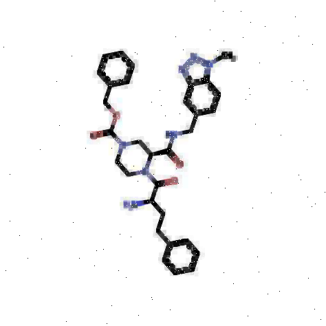 Cn1nnc2cc(CNC(=O)[C@@H]3CN(C(=O)OCc4ccccc4)CCN3C(=O)[C@H](N)CCc3ccccc3)ccc21